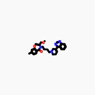 COCC1=COc2cc(C)ccc2C(=O)N1CCCCN1CCC=C(c2ncnc3ccccc23)C1